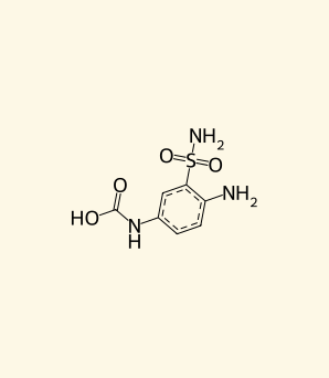 Nc1ccc(NC(=O)O)cc1S(N)(=O)=O